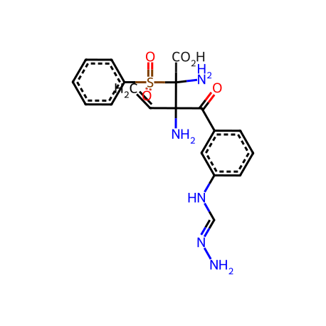 C=CC(N)(C(=O)c1cccc(NC=NN)c1)C(N)(C(=O)O)S(=O)(=O)c1ccccc1